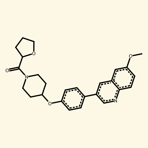 COc1ccc2ncc(-c3ccc(OC4CCN(C(=O)C5CCCO5)CC4)cc3)cc2c1